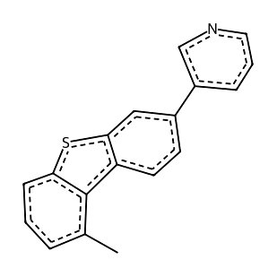 Cc1cccc2sc3cc(-c4cccnc4)ccc3c12